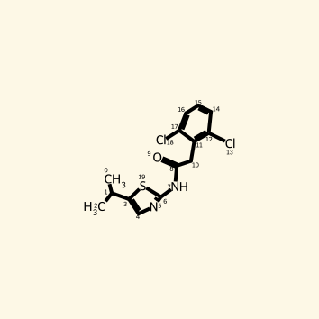 CC(C)c1cnc(NC(=O)Cc2c(Cl)cccc2Cl)s1